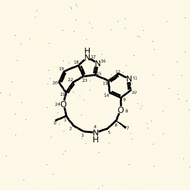 CC1CCNC[C@H](C)Oc2cncc(c2)-c2n[nH]c3ccc(cc23)O1